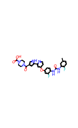 Cc1ccc(F)c(NC(=O)Nc2ccc(Oc3ccnc(-c4cc(C(=O)N5CCN(C(=O)O)CC5)c[nH]4)c3)cc2F)c1